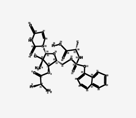 B[C@]1(Cl)[C@H](OC(=O)[C@@H](N)C(C)C)[C@@H](COP(=O)(N[C@@H](C)C(=O)OC(C)C)Oc2cccc3ccccc23)O[C@H]1n1ccc(=O)[nH]c1=O